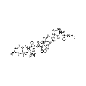 C[C@H](N(Cc1ccc(F)cc1)C(=O)CN1CO[C@]2(C(=O)Cc3cc(-c4cnn(CC(N)=O)c4)ccc32)C1=O)C(F)(F)F